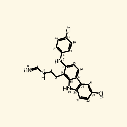 N=CNCCc1c(Nc2ccc(Cl)cc2)ccc2c1[nH]c1ccc(Cl)cc12